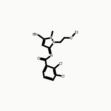 CCOCCn1/c(=N/C(=O)c2cccc(Cl)c2Cl)cc(C(C)(C)C)n1C